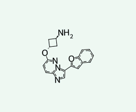 N[C@H]1C[C@H](Oc2ccc3ncc(-c4cc5ccccc5o4)n3n2)C1